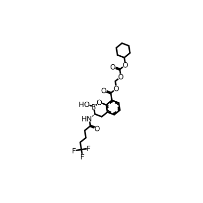 O=C(CCCC(F)(F)F)N[C@H]1Cc2cccc(C(=O)OCOC(=O)OC3CCCCC3)c2OB1O